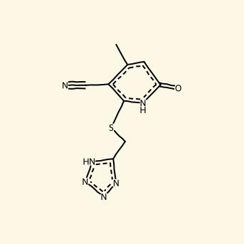 Cc1cc(=O)[nH]c(SCc2nnn[nH]2)c1C#N